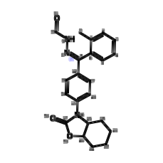 Cc1ccccc1/C(=N\NC=O)c1ccc(N2C(=O)OC3CCCCC32)cc1